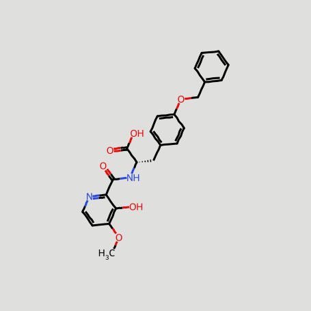 COc1ccnc(C(=O)N[C@@H](Cc2ccc(OCc3ccccc3)cc2)C(=O)O)c1O